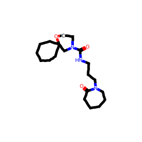 O=C1CCCCCN1CCCNC(=O)N1CCOC2(CCCCCC2)C1